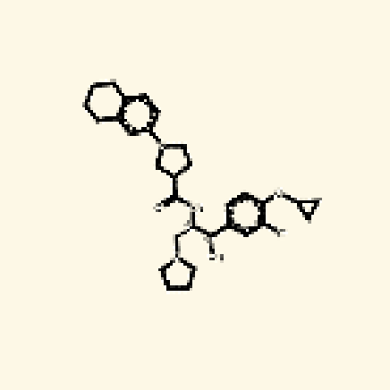 O=C(N[C@H](CN1CCCC1)[C@H](O)c1ccc(OC2CC2)c(Cl)c1)C1CCN(c2ccc3c(c2)CCCC3)C1